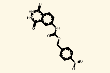 O=C(Nc1ccc2c(=O)[nH][nH]c(=O)c2c1)OCc1ccc([N+](=O)[O-])cc1